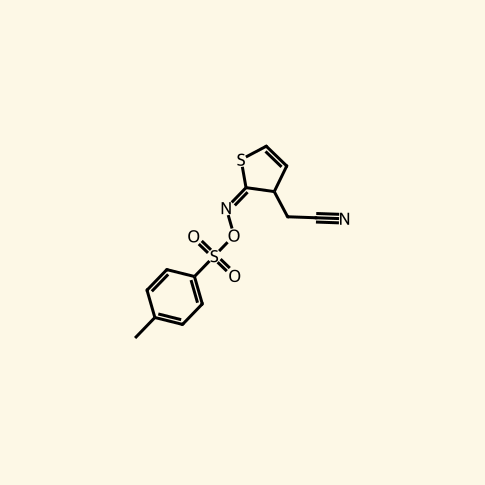 Cc1ccc(S(=O)(=O)ON=C2SC=CC2CC#N)cc1